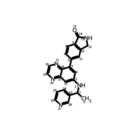 CC(Nc1cc(-c2ccc3c(c2)CNC3=O)c2nccnc2c1)c1cccnc1